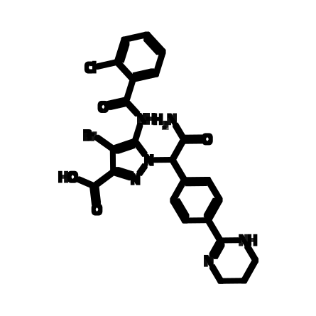 NC(=O)C(c1ccc(C2=NCCCN2)cc1)n1nc(C(=O)O)c(Br)c1NC(=O)c1ccccc1Cl